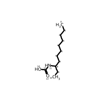 CCCCCCCCC(CC)NC(=O)O